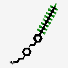 CCCC[C@H]1CC[C@H](CCc2ccc(C(F)(F)C(F)(F)C(F)(F)C(F)(F)C(F)(F)C(F)(F)C(F)(F)C(F)(F)F)cc2)CC1